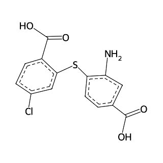 Nc1cc(C(=O)O)ccc1Sc1cc(Cl)ccc1C(=O)O